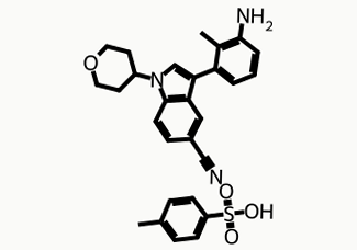 Cc1c(N)cccc1-c1cn(C2CCOCC2)c2ccc(C#N)cc12.Cc1ccc(S(=O)(=O)O)cc1